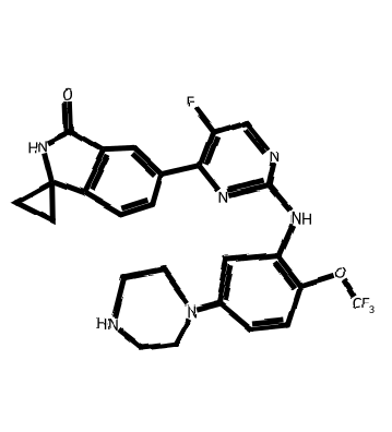 O=C1NC2(CC2)c2ccc(-c3nc(Nc4cc(N5CCNCC5)ccc4OC(F)(F)F)ncc3F)cc21